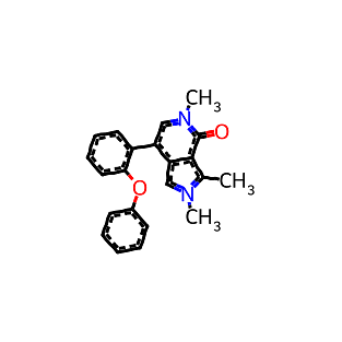 Cc1c2c(=O)n(C)cc(-c3ccccc3Oc3ccccc3)c2cn1C